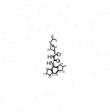 CC(C)CN1CC([S+]([O-])NC(=O)Nc2c3c(cc4c2CCC4)CCC3)C1